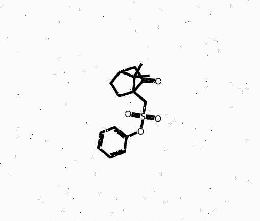 CC1(C)C2CCC1(CS(=O)(=O)Oc1ccccc1)C(=O)C2